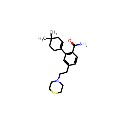 CC1(C)CC=C(c2cc(CCN3CCSCC3)ccc2C(N)=O)CC1